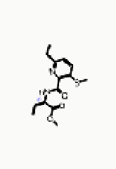 C/C=C(/NC(=O)c1nc(CC)ccc1SC)C(=O)OC